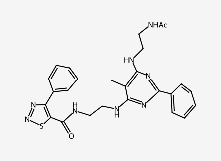 CC(=O)NCCNc1nc(-c2ccccc2)nc(NCCNC(=O)c2snnc2-c2ccccc2)c1C